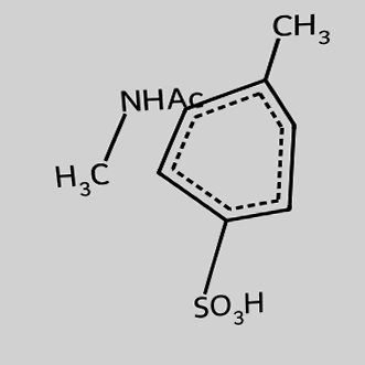 CNC(C)=O.Cc1ccc(S(=O)(=O)O)cc1